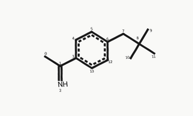 CC(=N)c1ccc(CC(C)(C)C)cc1